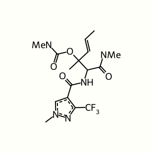 CC=CC(C)(OC(=O)NC)C(NC(=O)c1cn(C)nc1C(F)(F)F)C(=O)NC